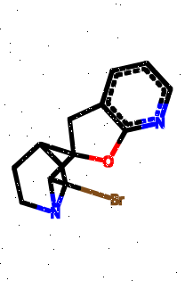 BrC1N2CCC(CC2)C12Cc1cccnc1O2